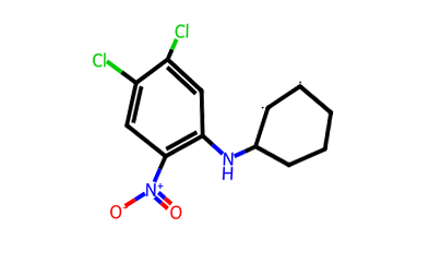 O=[N+]([O-])c1cc(Cl)c(Cl)cc1NC1[CH][CH]CCC1